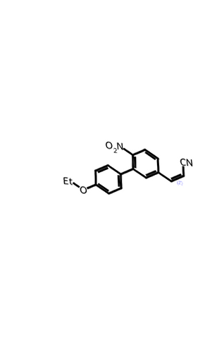 CCOc1ccc(-c2cc(/C=C\C#N)ccc2[N+](=O)[O-])cc1